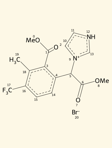 COC(=O)c1c(C(C(=O)OC)[n+]2cc[nH]c2)ccc(C(F)(F)F)c1C.[Br-]